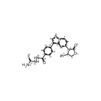 CC(C)C1COC(=O)N1c1ccn2ncc(-c3ccc(C(=O)NNC(N)=S)cc3)c2n1